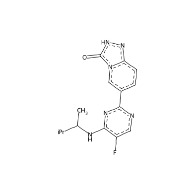 CC(C)C(C)Nc1nc(-c2ccc3n[nH]c(=O)n3c2)ncc1F